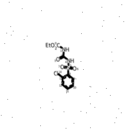 CCOC(=O)NC(=O)NS(=O)(=O)c1ccccc1Cl